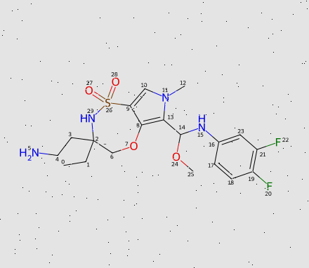 CCC1(CCN)COc2c(cn(C)c2C(Nc2ccc(F)c(F)c2)OC)S(=O)(=O)N1